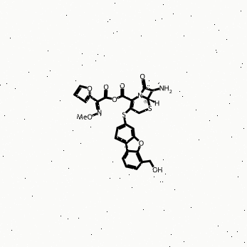 CON=C(C(=O)OC(=O)C1=C(Sc2ccc3c(c2)oc2c(CO)cccc23)CS[C@H]2C(N)C(=O)N12)c1ccco1